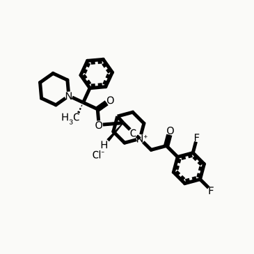 C[C@@](C(=O)O[C@H]1C[N+]2(CC(=O)c3ccc(F)cc3F)CCC1CC2)(c1ccccc1)N1CCCCC1.[Cl-]